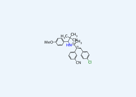 COc1ccc(C(N[C@@H](C)[C@@H](Cc2ccc(Cl)cc2)c2cccc(C#N)c2)C(C)(C)C#N)cc1